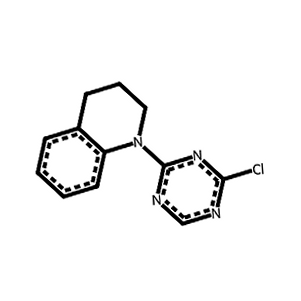 Clc1ncnc(N2CCCc3ccccc32)n1